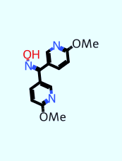 COc1ccc(C(=NO)c2ccc(OC)nc2)cn1